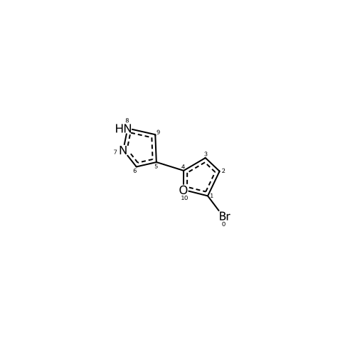 Brc1ccc(-c2cn[nH]c2)o1